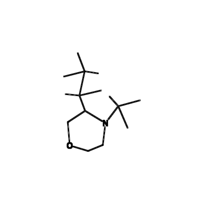 CC(C)(C)N1CCOCC1C(C)(C)C(C)(C)C